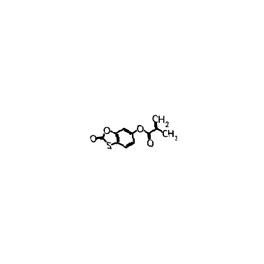 C=C(C)C(=O)Oc1ccc2sc(=O)oc2c1